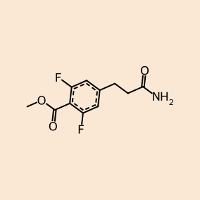 COC(=O)c1c(F)cc(CCC(N)=O)cc1F